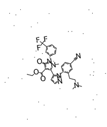 CCOC(=O)c1c(-c2ccnn2-c2ccc(C#N)cc2CCN(C)C)n(C)n(-c2cccc(C(F)(F)F)c2)c1=O